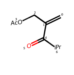 C=C(COC(C)=O)C(=O)C(C)C